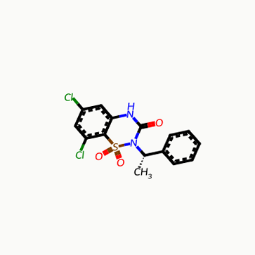 C[C@@H](c1ccccc1)N1C(=O)Nc2cc(Cl)cc(Cl)c2S1(=O)=O